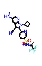 CNc1cnc2c(c1)c(C#N)c(-c1ccc(S(=O)(=O)N[C@@H](C)C(F)(F)F)cn1)n2C1CCC1